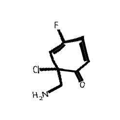 NCC1(Cl)C=C(F)C=CC1=O